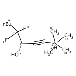 CCCCC(F)(F)[C@@H](O)C#C[SH](C)(C)(C)C